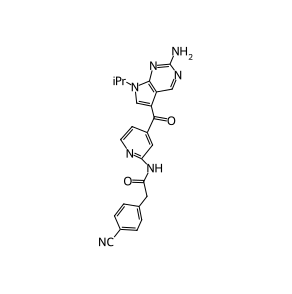 CC(C)n1cc(C(=O)c2ccnc(NC(=O)Cc3ccc(C#N)cc3)c2)c2cnc(N)nc21